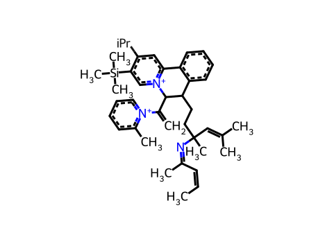 C=C(C1C(CCC(C)(C=C(C)C)/N=C(C)\C=C/C)c2ccccc2-c2cc(C(C)C)c([Si](C)(C)C)c[n+]21)[n+]1ccccc1C